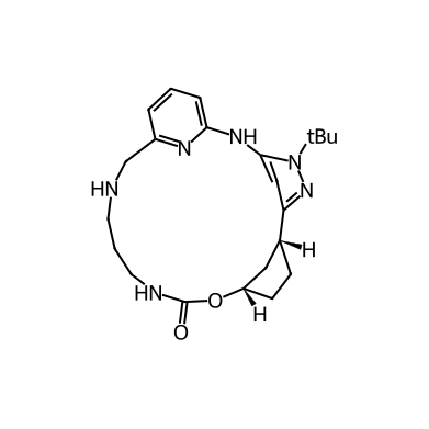 CC(C)(C)n1nc2cc1Nc1cccc(n1)CNCCCNC(=O)O[C@H]1CC[C@@H]2C1